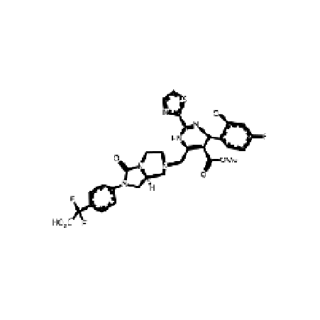 COC(=O)C1=C(CN2CCN3C(=O)N(c4ccc(C(F)(F)C(=O)O)cc4)C[C@@H]3C2)NC(c2nccs2)=N[C@H]1c1ccc(F)cc1Cl